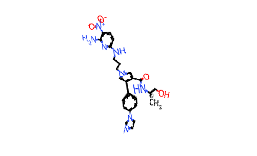 C[C@H](CO)NC(=O)c1cn(CCCNc2ccc([N+](=O)[O-])c(N)n2)cc1-c1ccc(-n2ccnc2)cc1